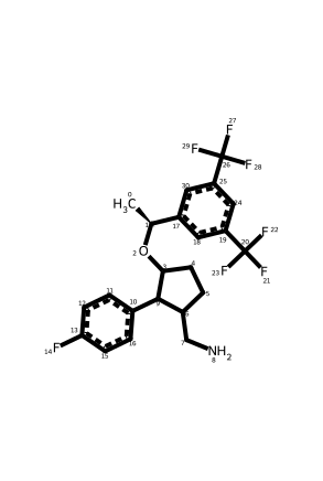 C[C@H](OC1CCC(CN)C1c1ccc(F)cc1)c1cc(C(F)(F)F)cc(C(F)(F)F)c1